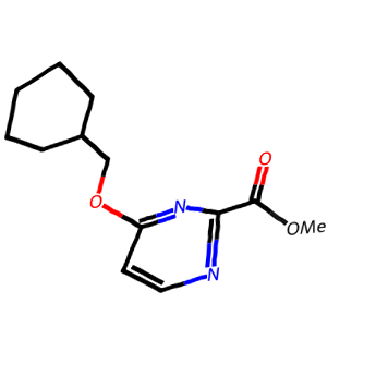 COC(=O)c1nccc(OCC2CCCCC2)n1